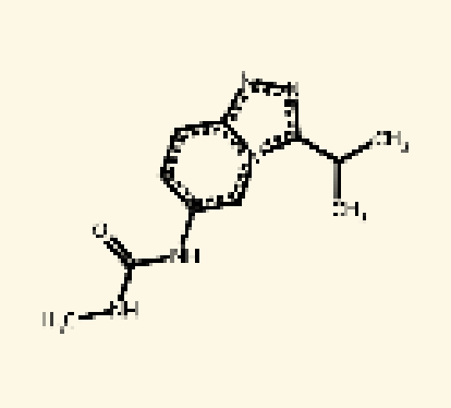 CNC(=O)Nc1ccc2nnc(C(C)C)n2c1